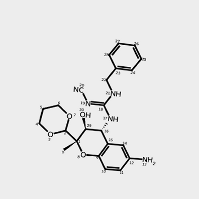 C[C@]1(C2OCCCO2)Oc2ccc(N)cc2[C@@H](NC(=NC#N)NCc2ccccc2)[C@@H]1O